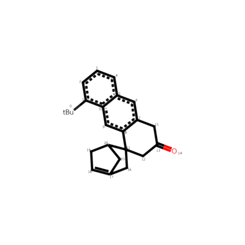 CC(C)(C)c1cccc2cc3c(cc12)C1(CC(=O)C3)CC2=CCC1C2